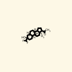 CC(=O)C1CCC2[C@@H]3CC[C@@H]4C[C@@](O)(C(F)F)CC[C@@H]4[C@H]3CC[C@]12C